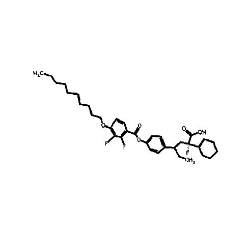 CCCCCCCCCCOc1ccc(C(=O)Oc2ccc(C(CC)C[C@@](F)(C(=O)O)C3CCCCC3)cc2)c(F)c1F